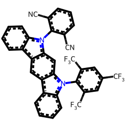 N#Cc1cccc(C#N)c1-n1c2ccccc2c2cc3c4ccccc4n(-c4c(C(F)(F)F)cc(C(F)(F)F)cc4C(F)(F)F)c3cc21